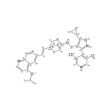 CC(C)Oc1ccnc2ccc(/C=C/C34CCC(OCc5c(-c6c(Cl)cncc6Cl)noc5C5CC5)(CC3)CC4)cc12